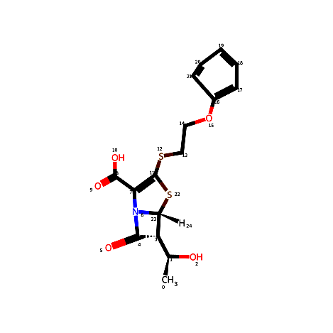 C[C@H](O)[C@@H]1C(=O)N2C(C(=O)O)=C(SCCOc3ccccc3)S[C@H]12